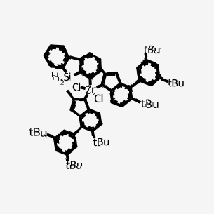 CC1=Cc2c(ccc(C(C)(C)C)c2-c2cc(C(C)(C)C)cc(C(C)(C)C)c2)[CH]1[Zr]([Cl])([Cl])([c]1cccc2c1[SiH2]c1ccccc1-2)[CH]1C(C)=Cc2c1ccc(C(C)(C)C)c2-c1cc(C(C)(C)C)cc(C(C)(C)C)c1